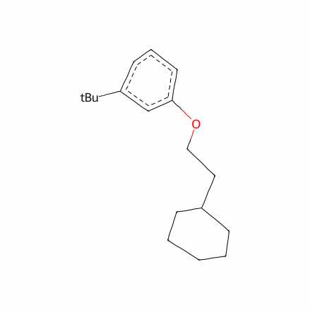 CC(C)(C)c1cccc(OCCC2CCCCC2)c1